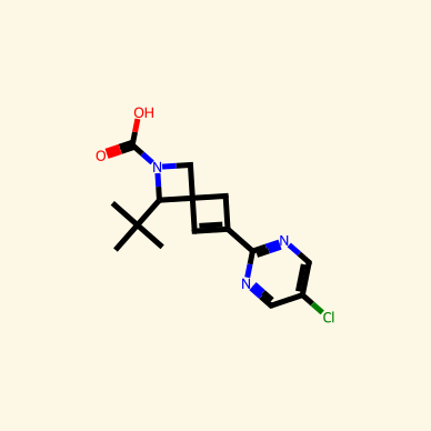 CC(C)(C)C1N(C(=O)O)CC12C=C(c1ncc(Cl)cn1)C2